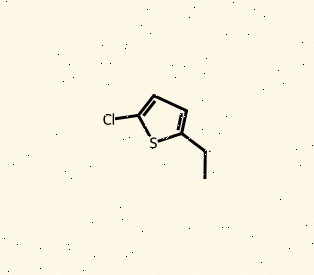 C[CH]c1ccc(Cl)s1